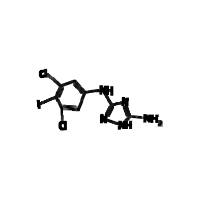 Nc1nc(Nc2cc(Cl)c(I)c(Cl)c2)n[nH]1